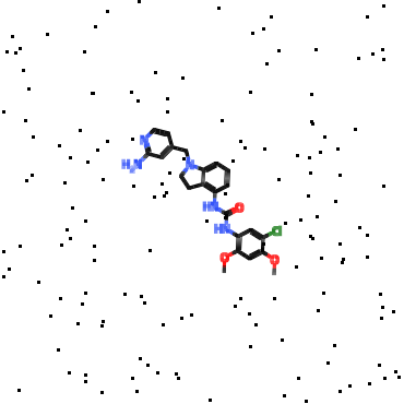 COc1cc(OC)c(NC(=O)Nc2cccc3c2CCN3Cc2ccnc(N)c2)cc1Cl